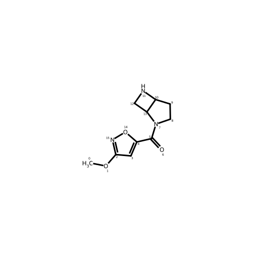 COc1cc(C(=O)N2CCC3NCC32)on1